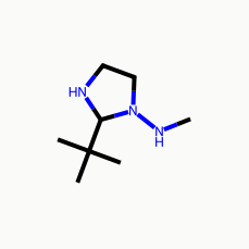 CNN1CCNC1C(C)(C)C